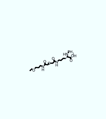 CCOCCCNC(=O)COCC(=O)NCCCC[C@H](NP)C(=O)O